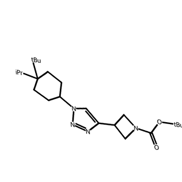 CC(C)C1(C(C)(C)C)CCC(n2cc(C3CN(C(=O)OC(C)(C)C)C3)nn2)CC1